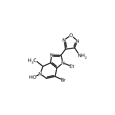 CCn1c(-c2nonc2N)nc2c1C(Br)=CN(O)C2C